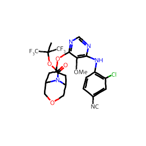 [C-]#[N+]c1ccc(Nc2ncnc(OC3CC4COCC(C3)N4C(=O)OC(C)(C(F)(F)F)C(F)(F)F)c2OC)c(Cl)c1